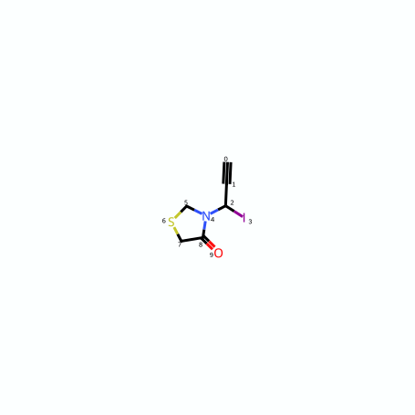 C#CC(I)N1CSCC1=O